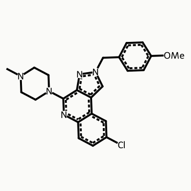 COc1ccc(Cn2cc3c(n2)c(N2CCN(C)CC2)nc2ccc(Cl)cc23)cc1